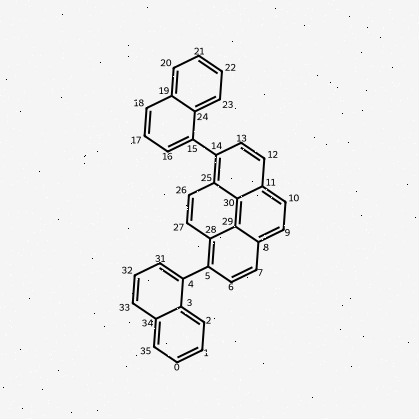 c1ccc2c(-c3ccc4ccc5ccc(-c6cccc7ccccc67)c6ccc3c4c56)cccc2c1